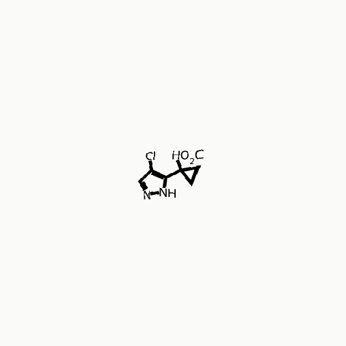 O=C(O)C1(c2[nH]ncc2Cl)CC1